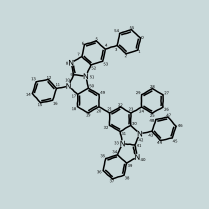 c1ccc(-c2ccc3nc4n(-c5ccccc5)c5ccc(-c6cc(-c7ccccc7)c7c(c6)n6c8ccccc8nc6n7-c6ccccc6)cc5n4c3c2)cc1